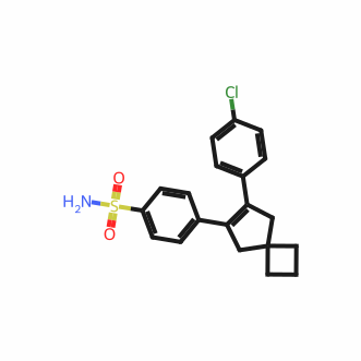 NS(=O)(=O)c1ccc(C2=C(c3ccc(Cl)cc3)CC3(CCC3)C2)cc1